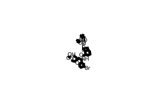 CC(C)(C)OP(=O)(OCn1cc2cccc(C(=O)N[C@H]3CC4(CCN(C(=O)O)CC4)Oc4ccc(Br)cc43)c2n1)OC(C)(C)C